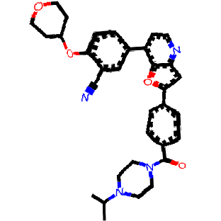 CC(C)N1CCN(C(=O)c2ccc(-c3cc4nccc(-c5ccc(OC6CCOCC6)c(C#N)c5)c4o3)cc2)CC1